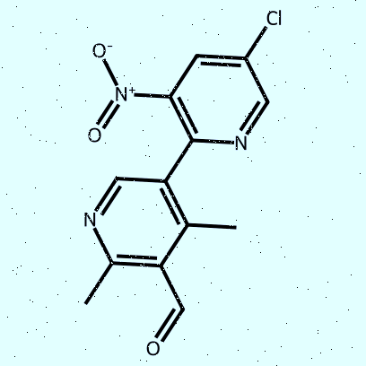 Cc1ncc(-c2ncc(Cl)cc2[N+](=O)[O-])c(C)c1C=O